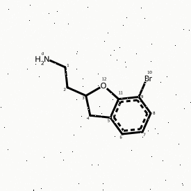 NCCC1Cc2cccc(Br)c2O1